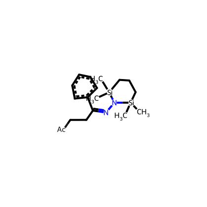 CC(=O)CCC(=NN1[Si](C)(C)CCC[Si]1(C)C)c1ccccc1